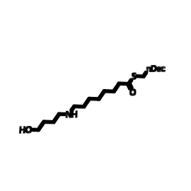 CCCCCCCCCCCSC(=O)CCCCCCCNCCCCO